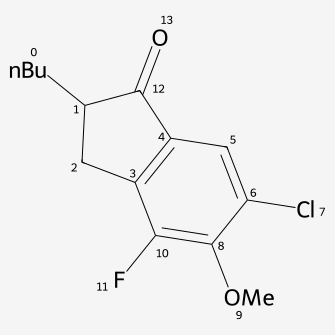 CCCCC1Cc2c(cc(Cl)c(OC)c2F)C1=O